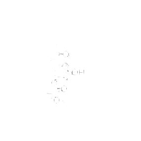 COC(C)C(=O)OC(CCCC(C)=O)CC(=O)O